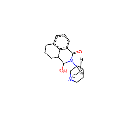 O=C1c2cccc3c2C(CCC3)C(O)N1[C@@H]1CN2CCC1CC2